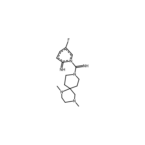 CN1CCN(C)C2(CCN(C(=N)n3cc(F)ccc3=N)CC2)C1